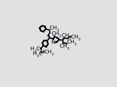 C=C(c1ccc(/C(=C/CC(C)c2ccccc2)c2ncc(C(/C(C)=C\C)=C(\C)CCC)cc2C)cc1)N(C)C